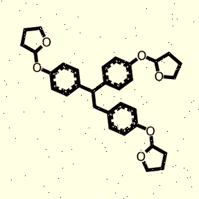 c1cc(OC2CCCO2)ccc1CC(c1ccc(OC2CCCO2)cc1)c1ccc(OC2CCCO2)cc1